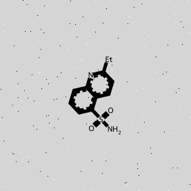 CCc1ccc2c(S(N)(=O)=O)cccc2n1